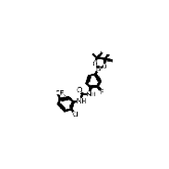 CC1(C)OB(c2ccc(NC(=O)Nc3cc(C(F)(F)F)ccc3Cl)c(F)c2)OC1(C)C